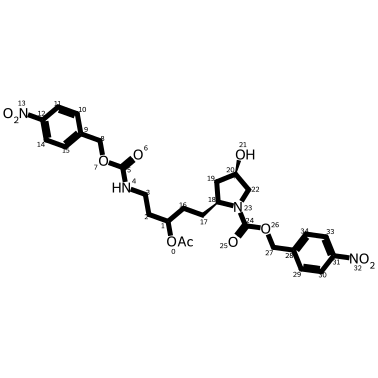 CC(=O)OC(CCNC(=O)OCc1ccc([N+](=O)[O-])cc1)CC[C@H]1C[C@@H](O)CN1C(=O)OCc1ccc([N+](=O)[O-])cc1